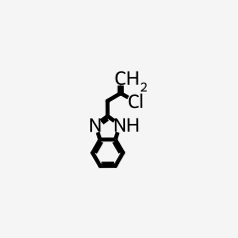 C=C(Cl)Cc1nc2ccccc2[nH]1